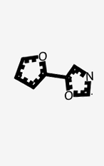 [c]1ncc(-c2ccco2)o1